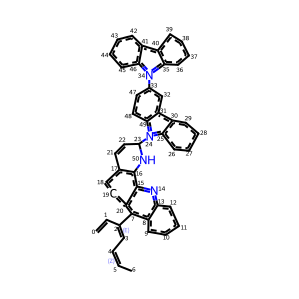 C=C/C(=C\C=C/C)c1c2ccccc2nc2c3c(ccc12)C=CC(n1c2ccccc2c2cc(-n4c5ccccc5c5ccccc54)ccc21)N3